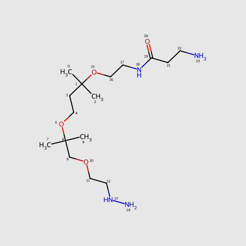 CC(C)(CCOC(C)(C)COCCNN)OCCNC(=O)CCN